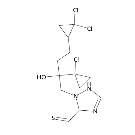 OC(CCC1CC1(Cl)Cl)(CN1NC=NC1C=S)C1(Cl)CC1